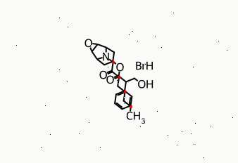 Br.CCCCCCC(=O)CN1C2CC(OC(=O)C(CO)c3ccccc3)CC1C1OC12